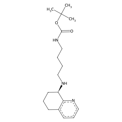 CC(C)(C)OC(=O)NCCCCN[C@@H]1CCCc2cccnc21